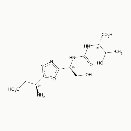 CC(O)[C@H](NC(=O)N[C@@H](CO)c1nnc([C@@H](N)CC(=O)O)o1)C(=O)O